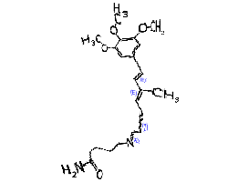 COc1cc(/C=C/C(C)=C/C=C\C=N\CCCC(N)=O)cc(OC)c1OC